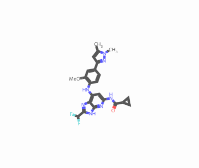 COc1cc(-c2cc(C)n(C)n2)ccc1Nc1cc(NC(=O)C2CC2)nc2[nH]c(C(F)F)nc12